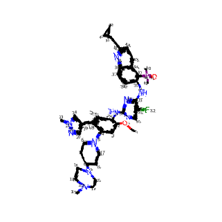 COc1cc(N2CCC(N3CCN(C)CC3)CC2)c(-c2cnn(C)c2)cc1Nc1ncc(F)c(Nc2ccc3nc(C4CC4)ccc3c2P(C)(C)=O)n1